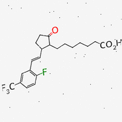 O=C(O)CCCCCCC1C(=O)CCC1C=Cc1cc(C(F)(F)F)ccc1F